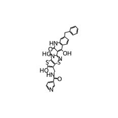 O=C(NCc1c(O)sc2c1SN=C(c1c(O)c3ccc(Cc4ccccc4)cc3[nH]c1=O)N2O)c1cccnc1